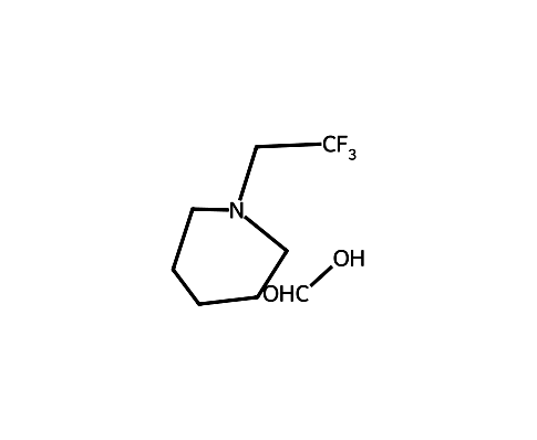 FC(F)(F)CN1CCCCC1.O=CO